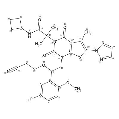 COc1ccc(F)cc1C(Cn1c(=O)n(C(C)(C)C(=O)NC2CCC2)c(=O)c2c(C)c(-n3cccn3)sc21)OCCC#N